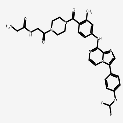 Cc1cc(Nc2nccn3c(-c4ccc(OC(F)F)cc4)cnc23)ccc1C(=O)N1CCN(C(=O)CNC(=O)CN)CC1